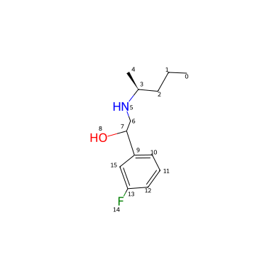 CCC[C@H](C)NCC(O)c1cccc(F)c1